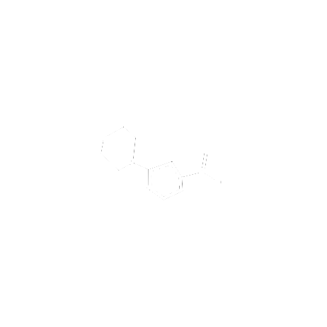 O=S(O)c1ccnc(N2CCOCC2)c1